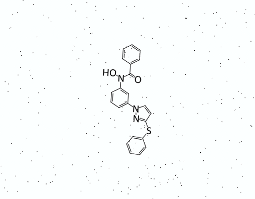 O=C(c1ccccc1)N(O)c1cccc(-n2ccc(Sc3ccccc3)n2)c1